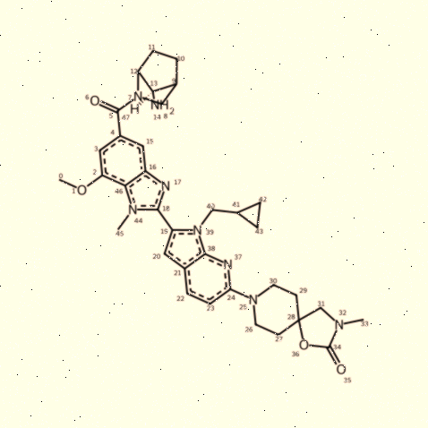 COc1cc(C(=O)N2CC3CCC2[C@@H]3N)cc2nc(-c3cc4ccc(N5CCC6(CC5)CN(C)C(=O)O6)nc4n3CC3CC3)n(C)c12